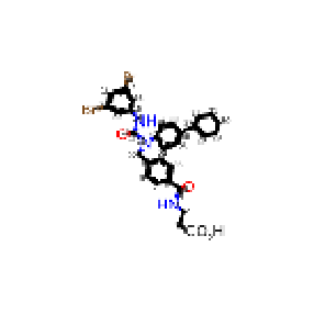 O=C(O)CCNC(=O)c1ccc(CN(C(=O)Nc2cc(Br)cc(Br)c2)c2ccc(C3=CCCCC3)cc2)cc1